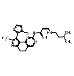 CN(C)CCN/C=C\C(=N)Nc1ncc2c(n1)-c1c(nn(C)c1-c1sccc1Cl)CC2